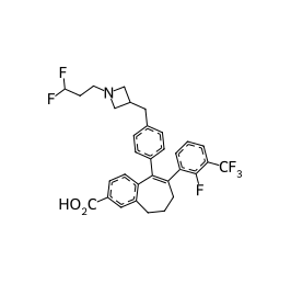 O=C(O)c1ccc2c(c1)CCCC(c1cccc(C(F)(F)F)c1F)=C2c1ccc(CC2CN(CCC(F)F)C2)cc1